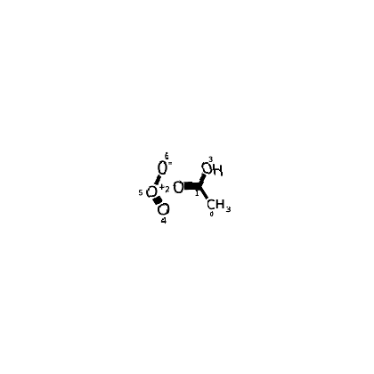 CC(=O)O.O=[O+][O-]